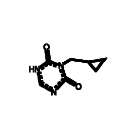 O=c1nc[nH]c(=O)n1CC1CC1